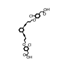 O=C(O)Cc1ccc(OCC=CC#Cc2cccc(C#CC=CCOc3ccc(CC(=O)O)cc3Cl)c2)c(Cl)c1